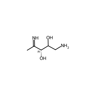 CC(=N)[C@@H](O)C(O)CN